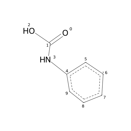 O=C(O)Nc1c[c]ccc1